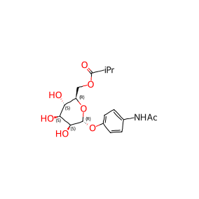 CC(=O)Nc1ccc(O[C@H]2O[C@H](COC(=O)C(C)C)[C@@H](O)[C@H](O)[C@@H]2O)cc1